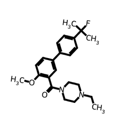 CCN1CCN(C(=O)c2cc(-c3ccc(C(C)(C)F)cc3)ccc2OC)CC1